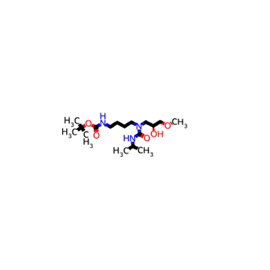 COC[C@@H](O)CN(CCCCNC(=O)OC(C)(C)C)C(=O)NC(C)C